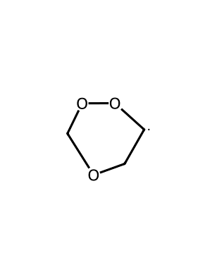 [CH]1COCOO1